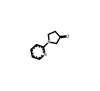 O=C1CCN(c2ccccn2)C1